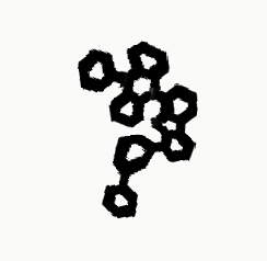 c1ccc(-c2cccc(-c3cccc4c3sc3c(B5c6ccccc6N(c6ccccc6)c6ccccc65)cccc34)c2)cc1